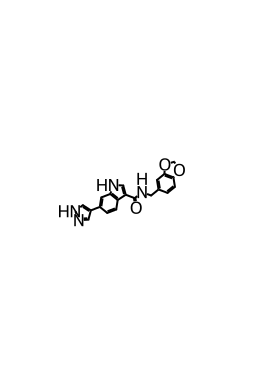 O=C(NCc1ccc2c(c1)OCO2)c1c[nH]c2cc(-c3cn[nH]c3)ccc12